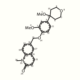 COc1cc(C2(OC)CCOCC2)ccc1OCc1ccc2c(ccc(=O)n2C)c1